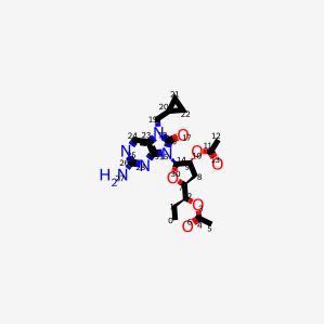 CC[C@H](OC(C)=O)[C@@H]1C[C@@H](OC(C)=O)[C@H](n2c(=O)n(CC3CC3)c3cnc(N)nc32)O1